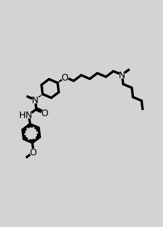 CCCCCN(C)CCCCCCO[C@H]1CC[C@H](N(C)C(=O)Nc2ccc(OC)cc2)CC1